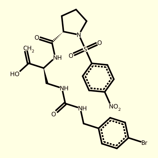 C=C(O)[C@H](CNC(=O)NCc1ccc(Br)cc1)NC(=O)[C@@H]1CCCN1S(=O)(=O)c1ccc([N+](=O)[O-])cc1